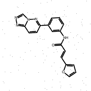 O=C(/C=C/c1ccco1)Nc1cccc(-c2ccc3nncn3n2)c1